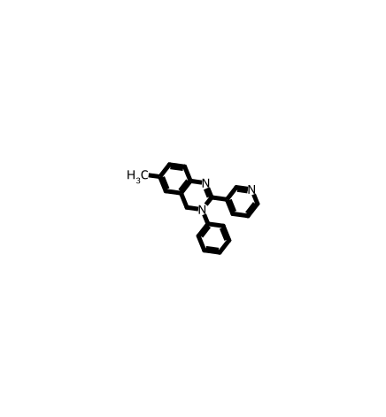 Cc1ccc2c(c1)CN(c1ccccc1)C(c1cccnc1)=N2